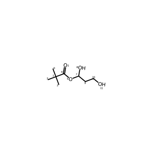 CC(C)(C)C(=O)OC(O)C[CH]O